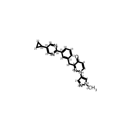 Cn1cc(-n2ccc(=O)c(Cc3cccc(-c4ncc(C5CC5)cn4)c3)n2)cn1